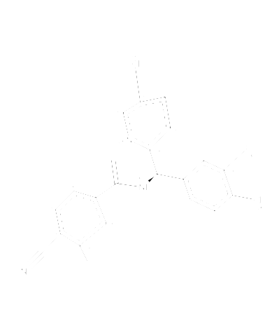 N#Cc1ccc(C(=O)N[C@H](c2ccc(Cl)c(Cl)c2)c2ccc(Cl)cn2)cc1F